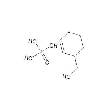 O=P(O)(O)O.OCC1C=CCCC1